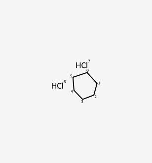 C1CCCCC1.Cl.Cl